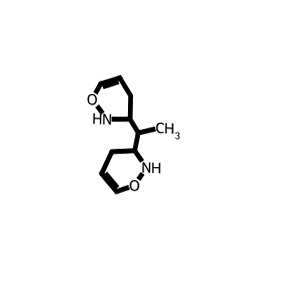 CC(C1CC=CON1)C1CC=CON1